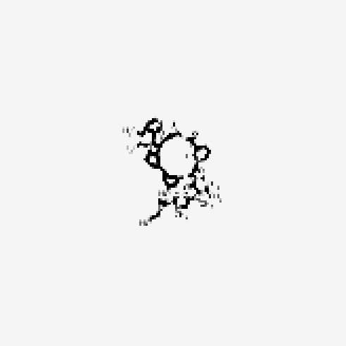 CCc1ccncc1-c1c2c3cc(ccc3n1CC)-c1cc(O)cc(c1)C[C@H](NC(=O)[C@H](C(C)C)N(C)C(=O)CN(C)C(=O)[C@H]1CN1CCO)C(=O)N1CCC[C@H](N1)C(=O)OCC(C)(C)C2